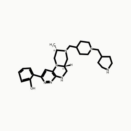 C[C@H]1CN2c3cc(-c4ccccc4O)nnc3NC[C@H]2CN1CC1CCN(CC2CCNCC2)CC1